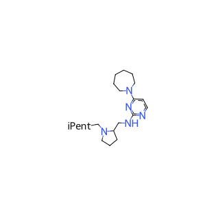 CCCC(C)CN1CCCC1CNc1nccc(N2CCCCCC2)n1